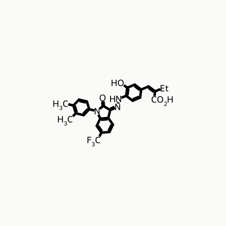 CCC(=Cc1ccc(NN=C2C(=O)N(c3ccc(C)c(C)c3)c3cc(C(F)(F)F)ccc32)c(O)c1)C(=O)O